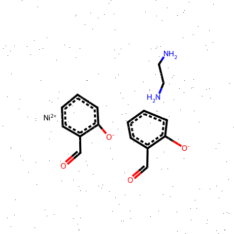 NCCN.O=Cc1ccccc1[O-].O=Cc1ccccc1[O-].[Ni+2]